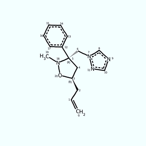 C=CC[C@@H]1C[C@](Cn2cncn2)(c2ccccc2)N(C)O1